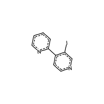 Ic1cnccc1-c1ccccn1